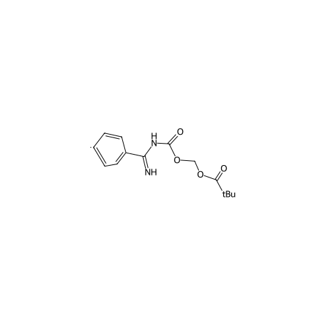 CC(C)(C)C(=O)OCOC(=O)NC(=N)c1cc[c]cc1